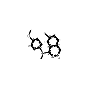 COc1ccc(N(C)c2nncc3ccc(C)cc23)cc1